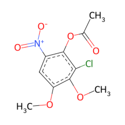 COc1cc([N+](=O)[O-])c(OC(C)=O)c(Cl)c1OC